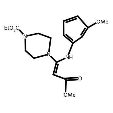 CCOC(=O)N1CCN(C(=CC(=O)OC)Nc2cccc(OC)c2)CC1